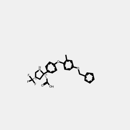 Cc1cc(OCc2ccccc2)ccc1Oc1ccc([C@@]2(CC(=O)O)C[C@H](C(F)(F)F)CN2)cc1